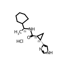 C[C@H](NC(=O)[C@H]1C[C@@H]1c1c[nH]cn1)C1CCCCC1.Cl